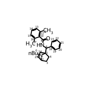 CCCCN1C2CCC1(C(NC(=O)c1c(C)cccc1C)c1ccccc1)CC2